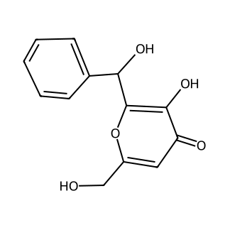 O=c1cc(CO)oc(C(O)c2ccccc2)c1O